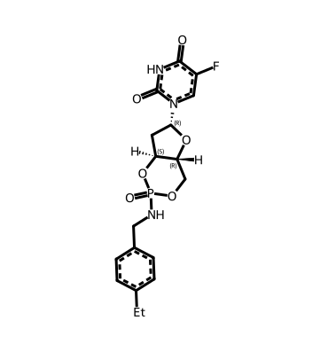 CCc1ccc(CNP2(=O)OC[C@H]3O[C@@H](n4cc(F)c(=O)[nH]c4=O)C[C@@H]3O2)cc1